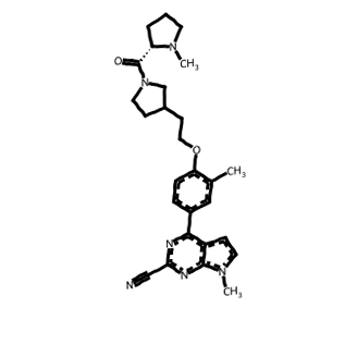 Cc1cc(-c2nc(C#N)nc3c2ccn3C)ccc1OCCC1CCN(C(=O)[C@@H]2CCCN2C)C1